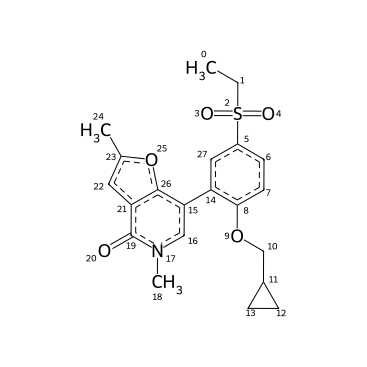 CCS(=O)(=O)c1ccc(OCC2CC2)c(-c2cn(C)c(=O)c3cc(C)oc23)c1